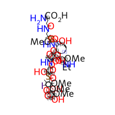 CCN[C@H]1CO[C@@H](O[C@H]2[C@H](O[C@H]3C#C/C=C\C#C[C@]4(O)CC(=O)C(NC(=O)OC)=C3/C4=C\CSSC(C)(C)CCNC(=O)CC[C@H](N)C(=O)O)O[C@H](C)[C@@H](NO[C@H]3C[C@H](O)[C@H](SC(=O)c4c(C)c(I)c(O[C@@H]5O[C@@H](C)[C@H](O)[C@@H](OC)[C@H]5O)c(OC)c4OC)[C@@H](C)O3)[C@H]2O)C[C@@H]1OC